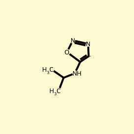 CC(C)Nc1[c]nno1